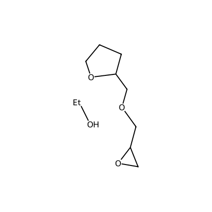 C1COC(COCC2CO2)C1.CCO